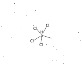 C[SH](Cl)(Cl)(Cl)Cl